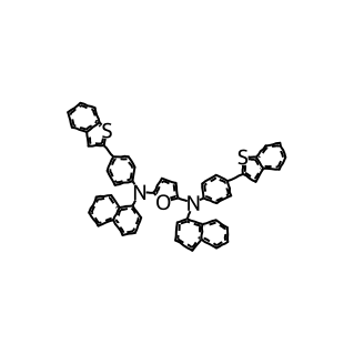 c1ccc2sc(-c3ccc(N(c4ccc(N(c5ccc(-c6cc7ccccc7s6)cc5)c5cccc6ccccc56)o4)c4cccc5ccccc45)cc3)cc2c1